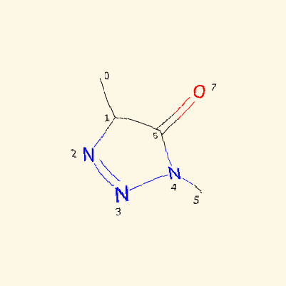 CC1N=NN(C)C1=O